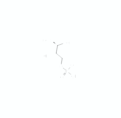 O=C[C@@H](O)[C@@H](O)COP(=O)(O)O